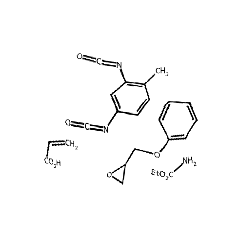 C=CC(=O)O.CCOC(N)=O.Cc1ccc(N=C=O)cc1N=C=O.c1ccc(OCC2CO2)cc1